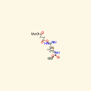 COC(=O)CCC(=O)ONC(=N)c1ccc(NC(=O)OC(C)(C)C)s1